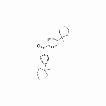 CC1(c2ccc(C(=O)c3ccc(C4(C)CCCCC4)cc3)cc2)CCCCC1